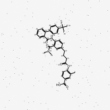 Cc1cc(C(=O)O)ccc1OC(=O)CCCc1ccc(NC(=O)c2ccccc2-c2ccc(C(F)(F)F)cc2)c(C(=O)N(C)C)c1